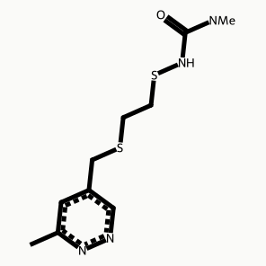 CNC(=O)NSCCSCc1cnnc(C)c1